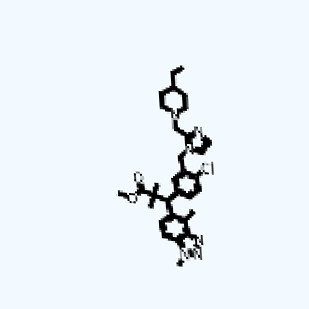 CCC1CCN(Cc2nccn2Cc2cc(C(c3ccc4c(nnn4C)c3C)C(C)(C)C(=O)OC)ccc2Cl)CC1